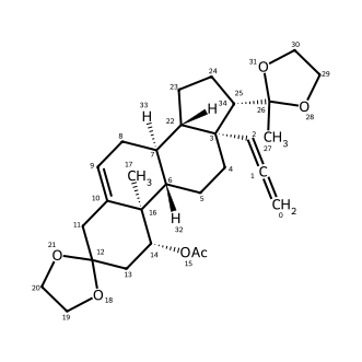 C=C=C[C@]12CC[C@H]3[C@@H](CC=C4CC5(C[C@@H](OC(C)=O)[C@@]43C)OCCO5)[C@@H]1CC[C@@H]2C1(C)OCCO1